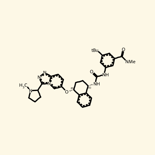 CNC(=O)c1cc(NC(=O)N[C@H]2CC[C@@H](Oc3ccc4nnc(C5CCCN5C)n4c3)c3ccccc32)cc(C(C)(C)C)c1